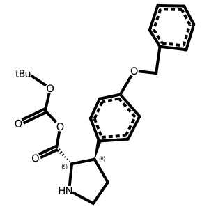 CC(C)(C)OC(=O)OC(=O)[C@H]1NCC[C@@H]1c1ccc(OCc2ccccc2)cc1